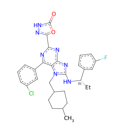 CC[C@H](Nc1nc2nc(-c3n[nH]c(=O)o3)nc(-c3cccc(Cl)c3)c2n1CC1CCC(C)CC1)c1cccc(F)c1